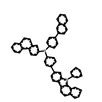 c1ccc(-n2c3cc(-c4ccc(N(c5ccc(-c6ccc7ccccc7c6)cc5)c5ccc6c(ccc7ccccc76)c5)cc4)ccc3c3ccc4ccccc4c32)cc1